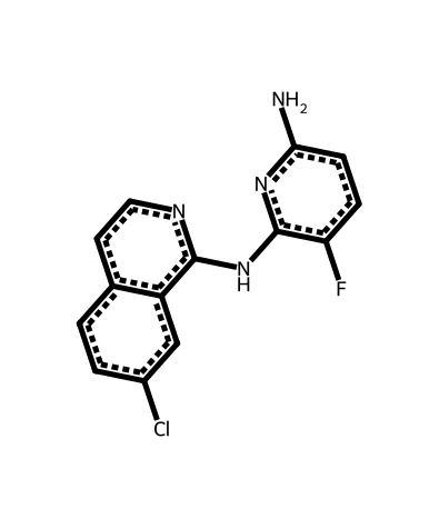 Nc1ccc(F)c(Nc2nccc3ccc(Cl)cc23)n1